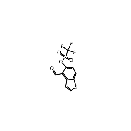 O=Cc1c(OS(=O)(=O)C(F)(F)F)ccc2sccc12